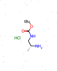 C[C@@H](N)CNC(=O)OC(C)(C)C.Cl